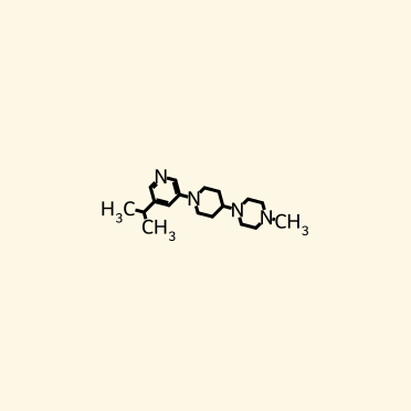 CC(C)c1cncc(N2CCC(N3CCN(C)CC3)CC2)c1